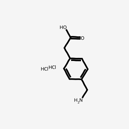 Cl.Cl.NCc1ccc(CC(=O)O)cc1